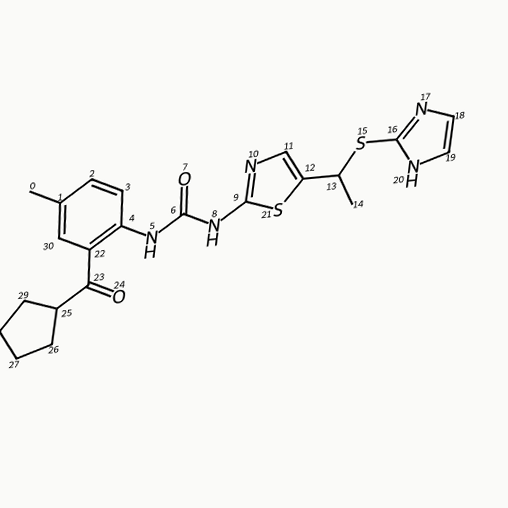 Cc1ccc(NC(=O)Nc2ncc(C(C)Sc3ncc[nH]3)s2)c(C(=O)C2CCCC2)c1